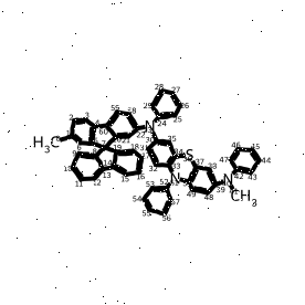 Cc1ccc2c(c1)C1(c3ccccc3-c3ccccc31)c1cc(N(c3ccccc3)c3ccc4c(c3)Sc3cc(N(C)c5ccccc5)ccc3N4c3ccccc3)ccc1-2